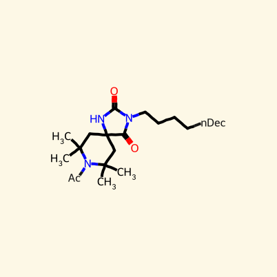 CCCCCCCCCCCCCCN1C(=O)NC2(CC(C)(C)N(C(C)=O)C(C)(C)C2)C1=O